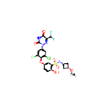 CO[C@H]1C[C@@H](NS(=O)(=O)c2cc(Oc3c(Cl)cc(-n4nc(C(F)F)c(=O)[nH]c4=O)cc3Cl)ccc2O)C1